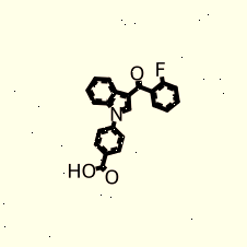 O=C(O)c1ccc(-n2cc(C(=O)c3ccccc3F)c3ccccc32)cc1